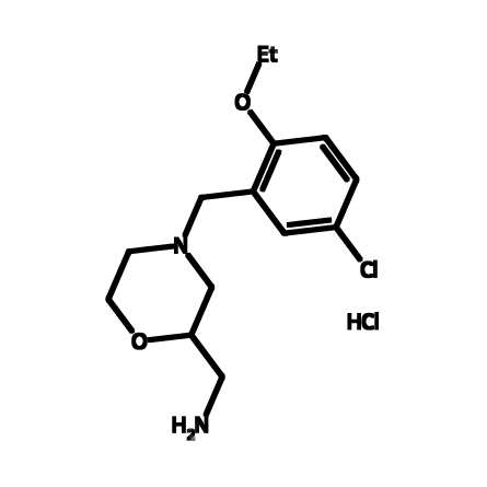 CCOc1ccc(Cl)cc1CN1CCOC(CN)C1.Cl